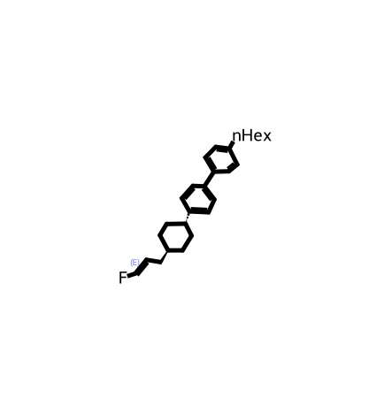 CCCCCCc1ccc(-c2ccc([C@H]3CC[C@H](C/C=C/F)CC3)cc2)cc1